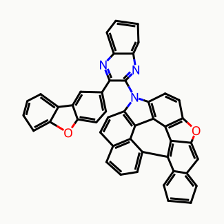 c1ccc2c3c4c(cc2c1)oc1ccc2c(c14)c1c4c-3cccc4ccc1n2-c1nc2ccccc2nc1-c1ccc2oc3ccccc3c2c1